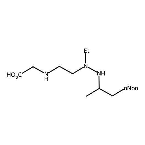 CCCCCCCCCCC(C)NN(CC)CCNCC(=O)O